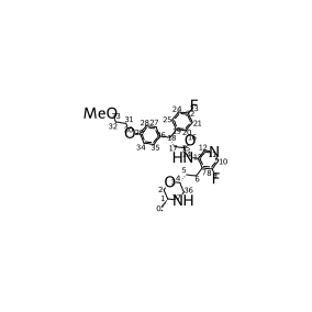 [CH2][C@H]1CO[C@H](CCc2c(F)cncc2NC(=O)C[C@@H](c2ccc(F)cc2)c2ccc(OCCOC)cc2)CN1